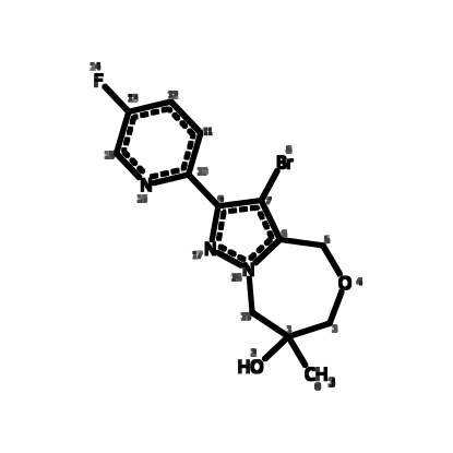 CC1(O)COCc2c(Br)c(-c3ccc(F)cn3)nn2C1